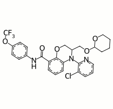 O=C(Nc1ccc(OC(F)(F)F)cc1)c1cccc2c1OCC(COC1CCCCO1)N2c1ncccc1Cl